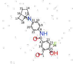 O=Cc1cc(C(=O)Nc2ccc(N3C4CCC5CCC543)cc2)cc(F)c1O